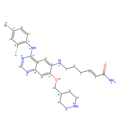 NC(=O)C=CCCCNc1cc2c(Nc3ccc(Br)cc3F)ncnc2cc1OCC1CCNCC1